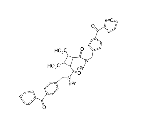 CCCN(Cc1ccc(C(=O)c2ccccc2)cc1)C(=O)C1C(C(=O)O)C(C(=O)O)C1C(=O)N(CCC)Cc1ccc(C(=O)c2ccccc2)cc1